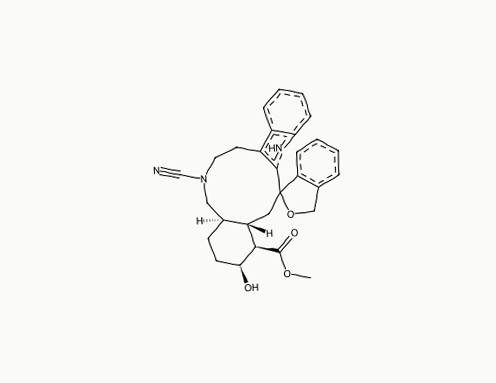 COC(=O)[C@@H]1[C@H]2CC3(OCc4ccccc43)c3[nH]c4ccccc4c3CCN(C#N)C[C@@H]2CC[C@@H]1O